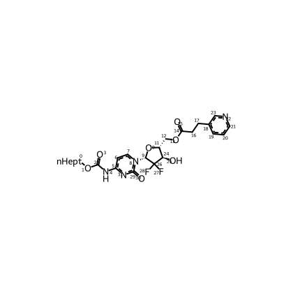 CCCCCCCOC(=O)Nc1ccn([C@@H]2O[C@H](COC(=O)CCc3cccnc3)[C@@H](O)C2(F)F)c(=O)n1